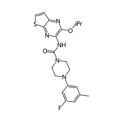 Cc1cc(F)cc(N2CCN(C(=O)Nc3nc4sccc4nc3OC(C)C)CC2)c1